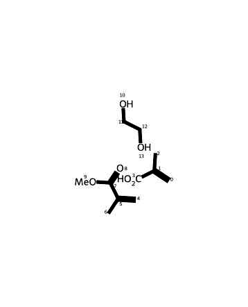 C=C(C)C(=O)O.C=C(C)C(=O)OC.OCCO